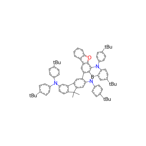 CC(C)(C)c1ccc(N2B3c4cc(C(C)(C)C)ccc4N(c4ccc(C(C)(C)C)cc4)c4c3c(cc3c4oc4ccccc43)-c3cc4c(cc32)C(C)(C)c2ccc(N(c3ccc(C(C)(C)C)cc3)c3ccc(C(C)(C)C)cc3)cc2-4)cc1